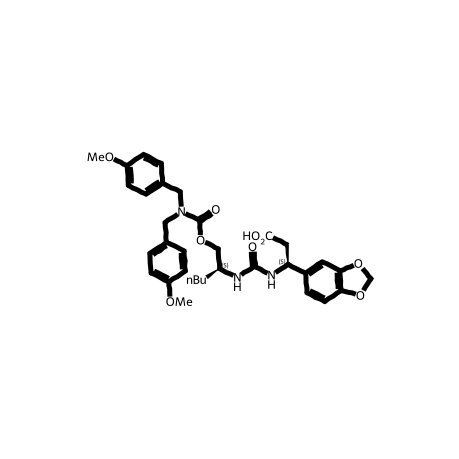 CCCC[C@@H](COC(=O)N(Cc1ccc(OC)cc1)Cc1ccc(OC)cc1)NC(=O)N[C@@H](CC(=O)O)c1ccc2c(c1)OCO2